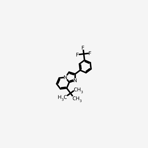 CC(C)(C)c1cccn2cc(-c3cccc(C(F)(F)F)c3)nc12